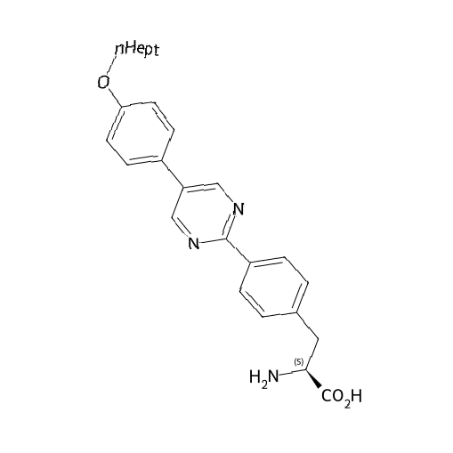 CCCCCCCOc1ccc(-c2cnc(-c3ccc(C[C@H](N)C(=O)O)cc3)nc2)cc1